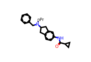 CCCN(Cc1ccccc1)C1Cc2ccc(NC(=O)C3CC3)cc2C1